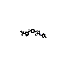 CNC(=O)c1cc(Oc2ccc(NC(=O)/C=C/c3ccc(C)s3)cc2)ccn1